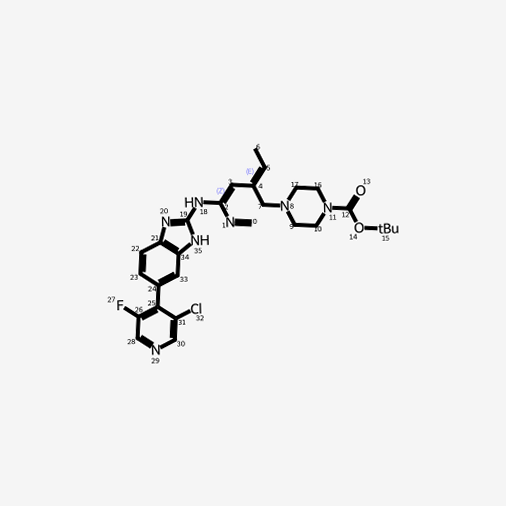 C=N/C(=C\C(=C/C)CN1CCN(C(=O)OC(C)(C)C)CC1)Nc1nc2ccc(-c3c(F)cncc3Cl)cc2[nH]1